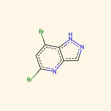 Brc1cc(Br)c2[nH]ncc2n1